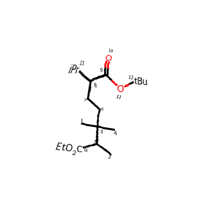 CCOC(=O)C(C)C(C)(C)CCC(C(=O)OC(C)(C)C)C(C)C